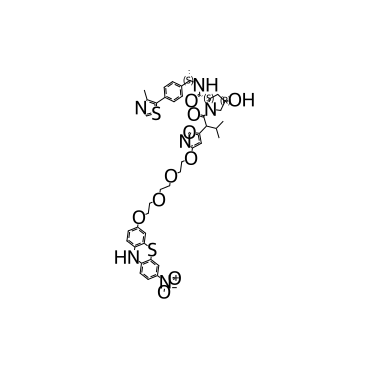 Cc1ncsc1-c1ccc([C@H](C)NC(=O)[C@@H]2C[C@@H](O)CN2C(=O)C(c2cc(OCCOCCOCCOc3ccc4c(c3)Sc3cc([N+](=O)[O-])ccc3N4)no2)C(C)C)cc1